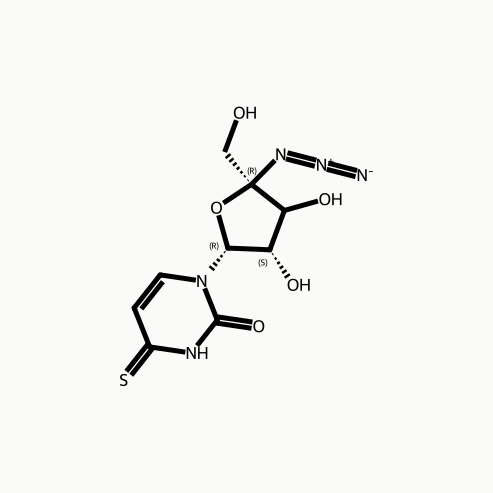 [N-]=[N+]=N[C@]1(CO)O[C@@H](n2ccc(=S)[nH]c2=O)[C@@H](O)C1O